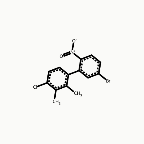 Cc1c(Cl)ccc(-c2cc(Br)ccc2[N+](=O)[O-])c1C